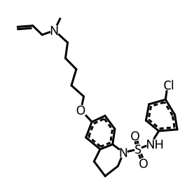 C=CCN(C)CCCCCOc1ccc2c(c1)CCCN2S(=O)(=O)Nc1ccc(Cl)cc1